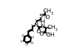 CC(=O)SCCN(C/C=C/c1ccccc1)C(=O)N[C@@H](C)C(=O)O